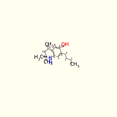 CCCCc1cc2c(cc1O)C(C)CC(C)(C)N2